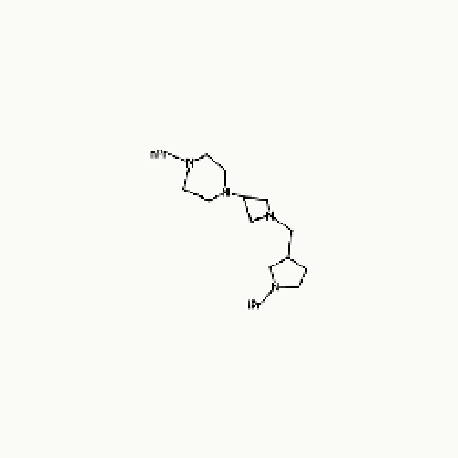 CCCN1CCN(C2CN(CC3CCN(C(C)C)C3)C2)CC1